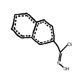 ON=C(Cl)c1ccc2ccccc2c1